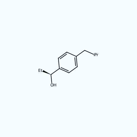 CC[C@H](O)c1ccc(CC(C)C)cc1